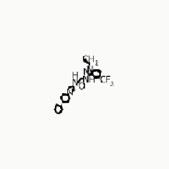 C=CCn1nc(NCC(=O)NC2CN([C@H]3CC[C@@H](C4CCCCC4)CC3)C2)c2cc(C(F)(F)F)ccc21